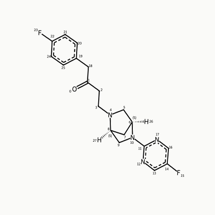 O=C(CCN1C[C@@H]2C[C@H]1CN2c1ncc(F)cn1)Cc1ccc(F)cc1